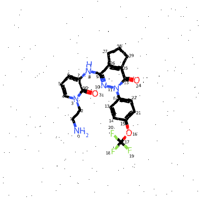 NCCn1cccc(Nc2nn(-c3ccc(OC(F)(F)F)cc3)c(=O)c3c2CCC3)c1=O